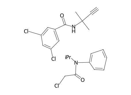 C#CC(C)(C)NC(=O)c1cc(Cl)cc(Cl)c1.CC(C)N(C(=O)CCl)c1ccccc1